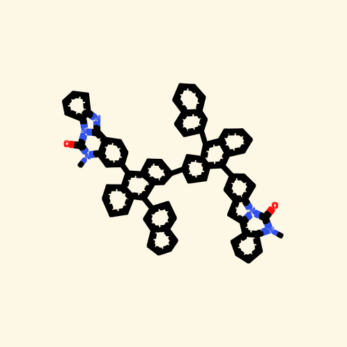 Cn1c(=O)n2c3ccc(-c4c5ccccc5c(-c5ccc6ccccc6c5)c5cc(-c6ccc7c(-c8ccc9c(c8)n(C)c(=O)n8c%10ccccc%10nc98)c8ccccc8c(-c8ccc9ccccc9c8)c7c6)ccc45)cc3cc2c2ccccc21